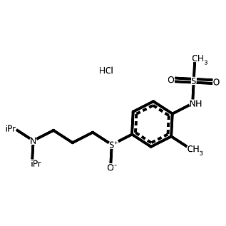 Cc1cc([S+]([O-])CCCN(C(C)C)C(C)C)ccc1NS(C)(=O)=O.Cl